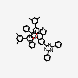 Cc1cc(C)cc(-c2ccc3c(c2)c2cc(-c4cc(C)cc(C)c4)ccc2n3-c2ccc(-c3nc(-c4ccccc4)nc(-c4ccccc4)n3)cc2-c2ccncc2-c2nc(-c3ccccc3)nc(-c3ccccc3)n2)c1